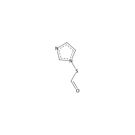 O=CSn1ccnc1